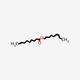 CC=CCCCCCCC(=O)OCCCCC/C=C\CC